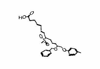 Cc1ccc(OCC(CCCC(CCCCCCC(=O)O)S(C)(=O)=O)OCc2ccccc2)cc1